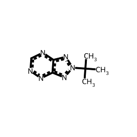 CC(C)(C)n1nc2ncnnc2n1